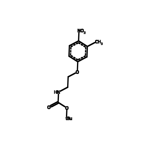 Cc1cc(OCCNC(=O)OC(C)(C)C)ccc1[N+](=O)[O-]